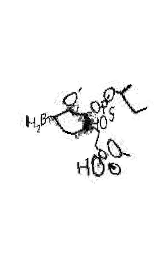 B[C@@H]1C[C@H](CCP(=O)(O)OC)[C@@H](OP(O)(=S)OC(C)CC)[C@H]1OC